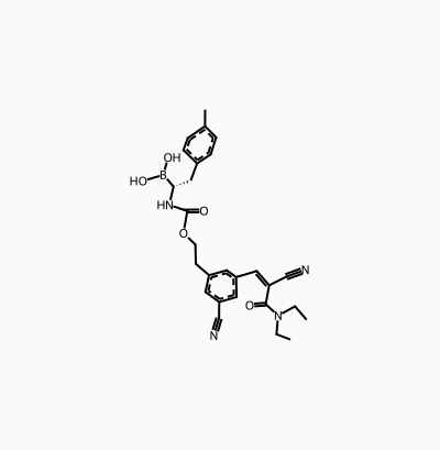 CCN(CC)C(=O)C(C#N)=Cc1cc(C#N)cc(CCOC(=O)N[C@@H](Cc2ccc(C)cc2)B(O)O)c1